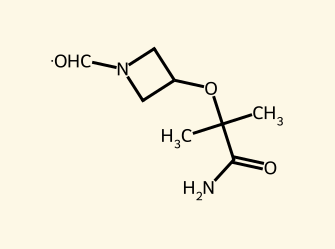 CC(C)(OC1CN([C]=O)C1)C(N)=O